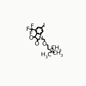 C[Si](C)(C)CCOCN1C(=O)C(=O)c2c1cc(I)cc2C(F)(F)F